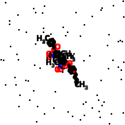 CCCCCC12CCC(C(=O)Oc3cc(C)c(-c4c(C)cc(OC(=O)c5ccc(C)cc5)c(-n5oo5)c4C)c(C)c3-n3oo3)(CC1)CC2